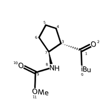 CCC(C)C(=O)[C@H]1CCC[C@@H]1NC(=O)OC